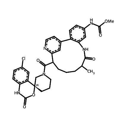 COC(=O)Nc1ccc2c(c1)NC(=O)C(C)CCCC(C(=O)N1CCC[C@@]3(C1)OC(=O)Nc1ccc(Cl)cc13)c1cc-2ccn1